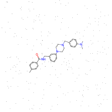 Cc1ccc(C(=O)NCc2cccc(N3CCN(Cc4ccc(N(C)C)cc4)CC3)c2)cc1